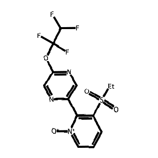 CCS(=O)(=O)c1ccc[n+]([O-])c1-c1cnc(OC(F)(F)C(F)F)cn1